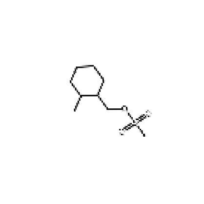 CC1CCCCC1COS(C)(=O)=O